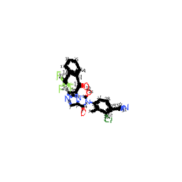 Cc1c(N2C(=O)C3CN4CC(C(=O)c5ccccc5C(F)(F)F)[N+]3(C4)C2=O)ccc(C#N)c1Cl